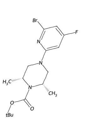 C[C@@H]1CN(c2cc(F)cc(Br)n2)C[C@H](C)N1C(=O)OC(C)(C)C